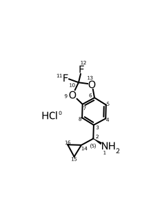 Cl.N[C@H](c1ccc2c(c1)OC(F)(F)O2)C1CC1